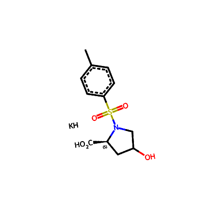 Cc1ccc(S(=O)(=O)N2CC(O)C[C@H]2C(=O)O)cc1.[KH]